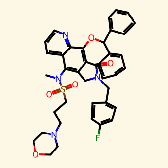 CN(c1c2c(c(OC(c3ccccc3)c3ccccc3)c3ncccc13)C(=O)N(Cc1ccc(F)cc1)C2)S(=O)(=O)CCCN1CCOCC1